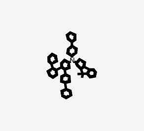 CC1(C)c2ccccc2-c2ccc(N(c3ccc(-c4ccccc4)cc3)c3ccc(-c4ccccc4-c4ccccc4)c(-c4ccc(-c5ccccc5)cc4)c3)cc21